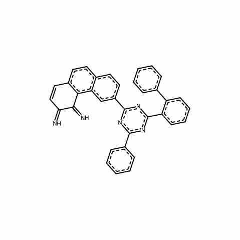 N=C1C=Cc2ccc3ccc(-c4nc(-c5ccccc5)nc(-c5ccccc5-c5ccccc5)n4)cc3c2C1=N